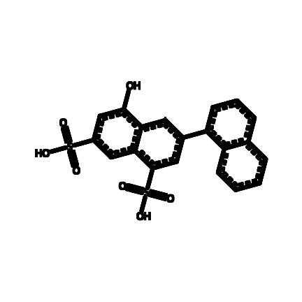 O=S(=O)(O)c1cc(O)c2[c]c(-c3cccc4ccccc34)cc(S(=O)(=O)O)c2c1